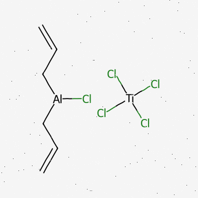 C=C[CH2][Al]([Cl])[CH2]C=C.[Cl][Ti]([Cl])([Cl])[Cl]